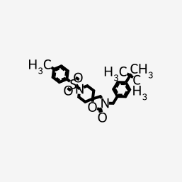 Cc1ccc(S(=O)(=O)N2CCC3(CC2)CN(Cc2ccc(C(C)(C)C)cc2)C(=O)O3)cc1